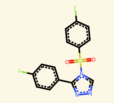 O=S(=O)(c1ccc(F)cc1)n1cnnc1-c1ccc(F)cc1